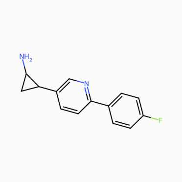 NC1CC1c1ccc(-c2ccc(F)cc2)nc1